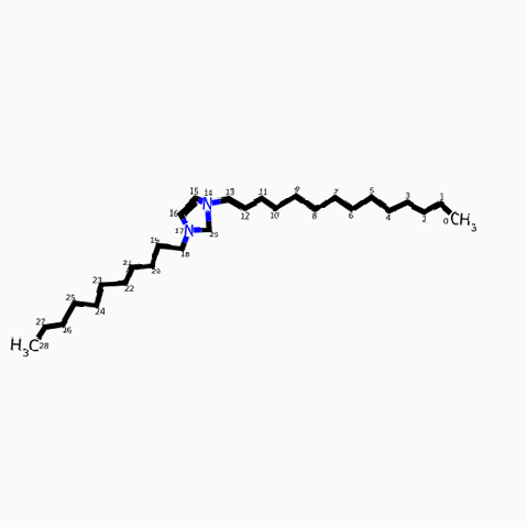 CCCCCCCCCCCCCCN1C=CN(CCCCCCCCCCC)C1